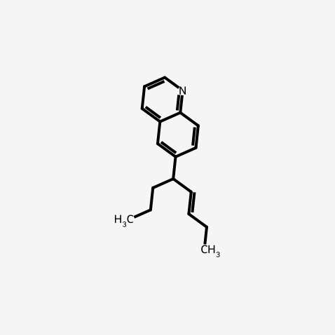 CCC=CC(CCC)c1ccc2ncccc2c1